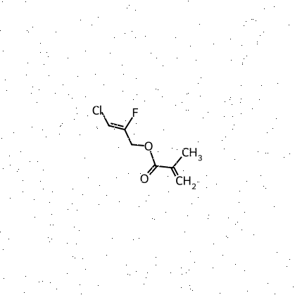 C=C(C)C(=O)OCC(F)=CCl